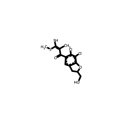 CS/C(S)=C(/C)C(=O)c1cc2c(c(Cl)c1Cl)OC(CO)C2